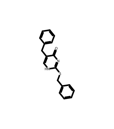 O=c1nc(SCc2ccccc2)[nH]cc1Cc1ccccc1